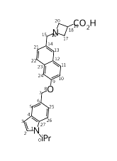 CC(C)n1ccc2cc(COc3ccc4cc(CN5CC(C(=O)O)C5)ccc4c3)ccc21